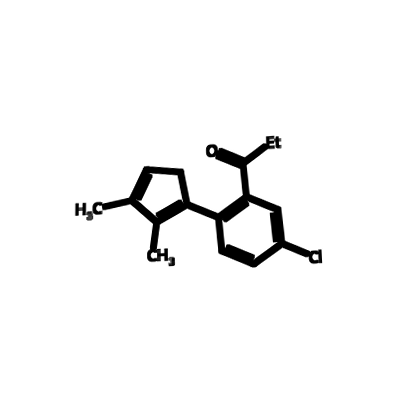 CCC(=O)c1cc(Cl)ccc1C1=C(C)C(C)=CC1